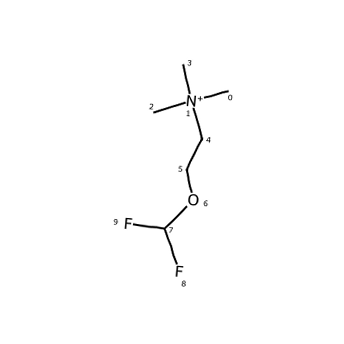 C[N+](C)(C)CCOC(F)F